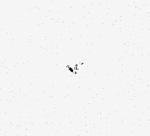 [BaH2].[La].[O]=[Fe]